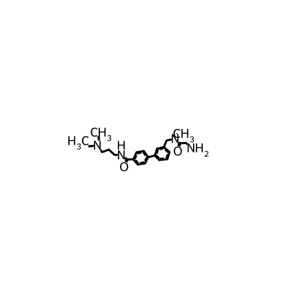 CCN(CC)CCCNC(=O)c1ccc(-c2cccc(CN(C)C(=O)CN)c2)cc1